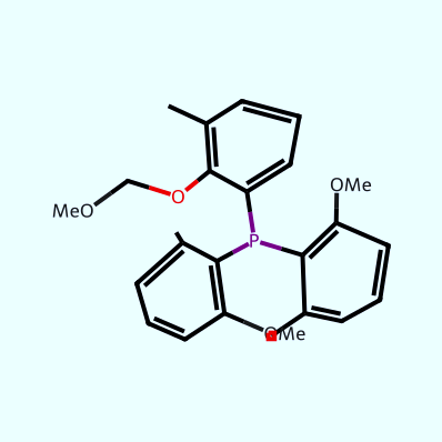 COCOc1c(C)cccc1P(c1c(C)cccc1OC)c1c(C)cccc1OC